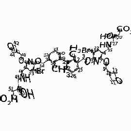 Cc1c(COc2nc(OCC3COC3)c(CNC[C@@H](O)CC(=O)O)cc2Br)cccc1-c1cccc(COc2nc(OCC3COC3)c(CNC[C@@H](O)CC(=O)O)cc2Br)c1C